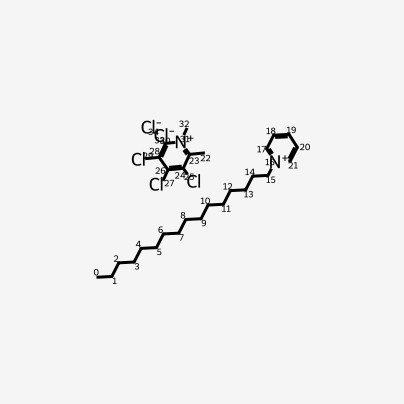 CCCCCCCCCCCCCCCC[n+]1ccccc1.Cc1c(Cl)c(Cl)c(Cl)c[n+]1C.[Cl-].[Cl-]